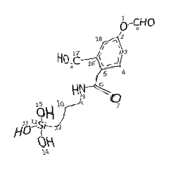 O=COc1ccc(C(=O)NCCC[Si](O)(O)O)c(C(=O)O)c1